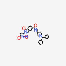 O=C1CCC(N2Cc3cc(C(=O)N4CC5(CCN(C(c6ccccc6)c6ccccc6)CC5)C4)ccc3C2=O)C(=O)N1